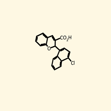 O=C(O)C1=Cc2ccccc2OC1c1ccc(Cl)c2ccccc12